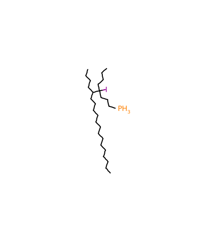 CCCCCCCCCCCCCCC(CCCC)C(I)(CCCC)CCCC.P